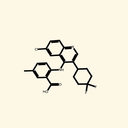 Cc1ccc(Nc2c(C3CCC(F)(F)CC3)cnc3ccc(Cl)cc23)c(C(=O)O)c1